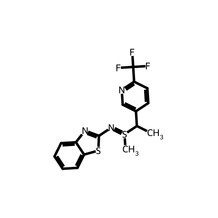 CC(c1ccc(C(F)(F)F)nc1)/S(C)=N/c1nc2ccccc2s1